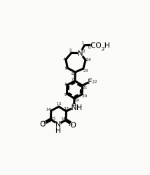 O=C(O)CN1CCCC(c2ccc(NC3CCC(=O)NC3=O)cc2F)CC1